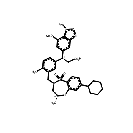 COc1cc([C@@H](CC(=O)O)c2ccc(C)c(CN3C[C@@H](C)Oc4cc(C5CCCCC5)ccc4S3(=O)=O)c2)cc2nnn(C)c12